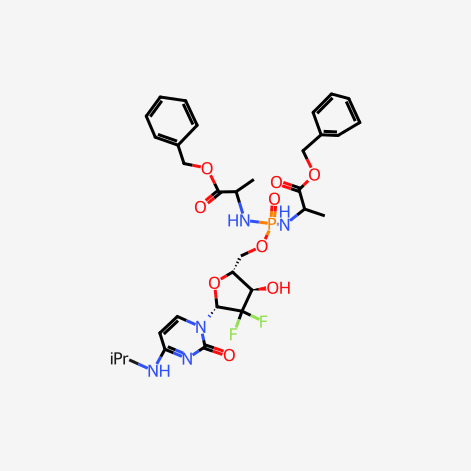 CC(C)Nc1ccn([C@@H]2O[C@H](COP(=O)(NC(C)C(=O)OCc3ccccc3)NC(C)C(=O)OCc3ccccc3)[C@@H](O)C2(F)F)c(=O)n1